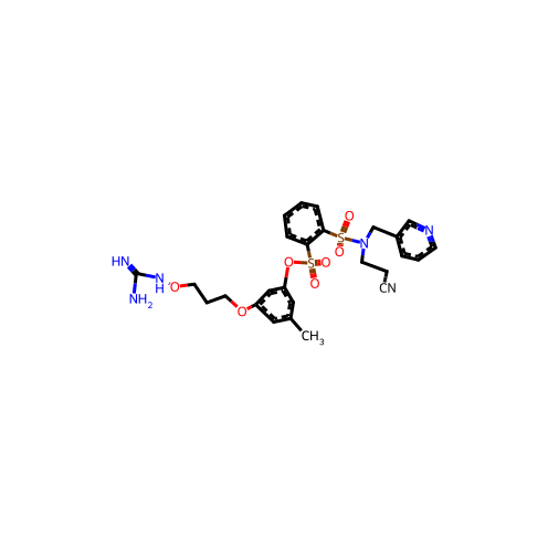 Cc1cc(OCCCONC(=N)N)cc(OS(=O)(=O)c2ccccc2S(=O)(=O)N(CCC#N)Cc2cccnc2)c1